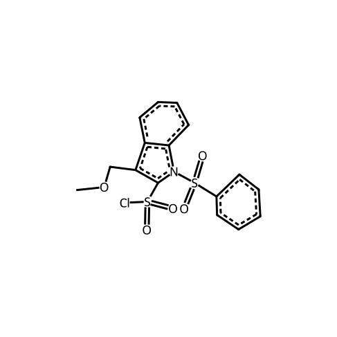 COCc1c(S(=O)(=O)Cl)n(S(=O)(=O)c2ccccc2)c2ccccc12